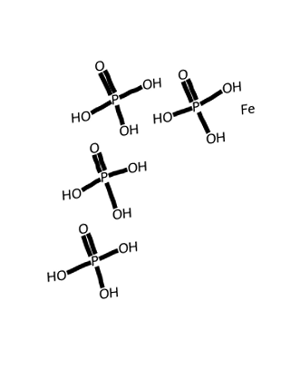 O=P(O)(O)O.O=P(O)(O)O.O=P(O)(O)O.O=P(O)(O)O.[Fe]